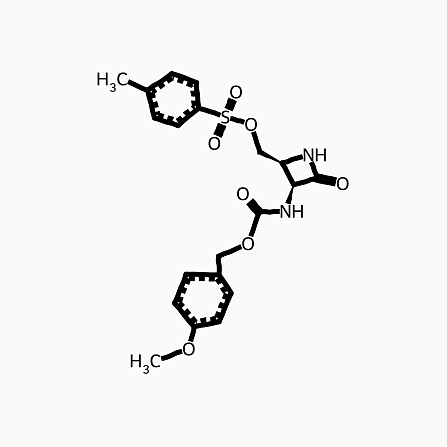 COc1ccc(COC(=O)N[C@@H]2C(=O)N[C@@H]2COS(=O)(=O)c2ccc(C)cc2)cc1